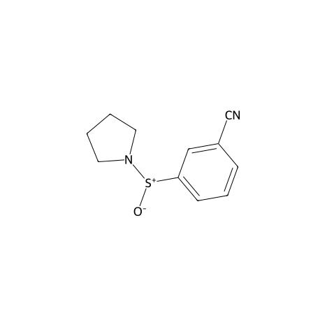 N#Cc1cccc([S+]([O-])N2CCCC2)c1